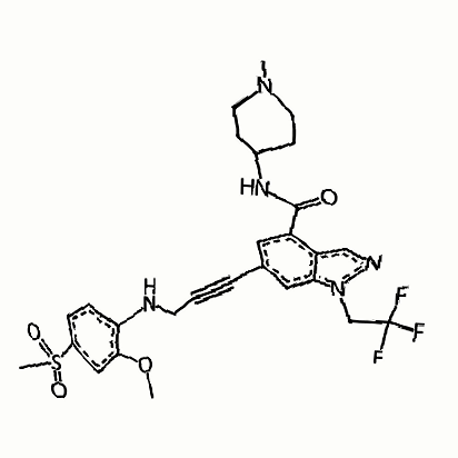 COc1cc(S(C)(=O)=O)ccc1NCC#Cc1cc(C(=O)NC2CCN(C)CC2)c2cnn(CC(F)(F)F)c2c1